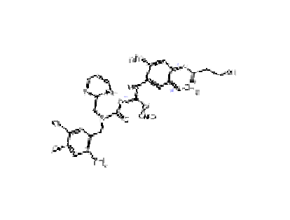 C/C=C1/C=C(N/C(=N/C(=O)N(Cc2cc(Cl)c(F)cc2P)CC2N=CC=CN2)NC=O)C(CCC)=C/C1=N/C(CC)CCO